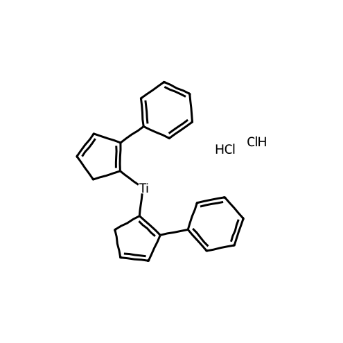 C1=CC(c2ccccc2)=[C]([Ti][C]2=C(c3ccccc3)C=CC2)C1.Cl.Cl